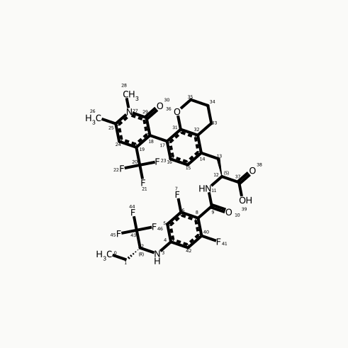 CC[C@@H](Nc1cc(F)c(C(=O)N[C@@H](Cc2ccc(-c3c(C(F)(F)F)cc(C)n(C)c3=O)c3c2CCCO3)C(=O)O)c(F)c1)C(F)(F)F